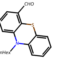 CCCCCCN1c2ccccc2Sc2c(C=O)cccc21